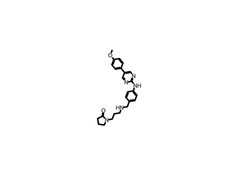 COc1ccc(-c2cnc(Nc3ccc(CNCCCN4CCCC4=O)cc3)nc2)cc1